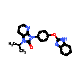 CC(C)n1c(=O)n(-c2ccc(Oc3nc4ccccc4[nH]3)cc2)c2ncccc21